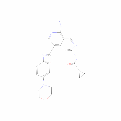 CNc1ncc(-c2nc3ccc(N4CCO[C@@H](C)C4)cc3o2)c2cc(NC(=O)C3CC3)ncc12